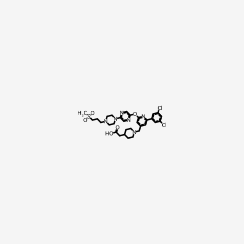 CS(=O)(=O)CCCN1CCN(c2cnc(Oc3cc(CN4CCC(CC(=O)O)CC4)cc(-c4cc(Cl)cc(Cl)c4)n3)cn2)CC1